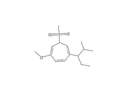 CCC(C1=CC(S(C)(=O)=O)C=C(OC)C=C1)C(C)C